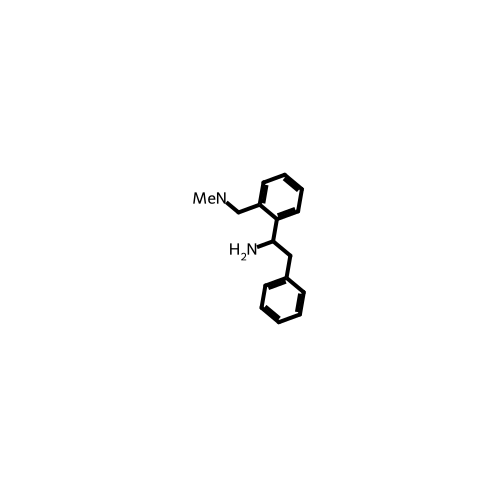 CNCc1ccccc1C(N)Cc1ccccc1